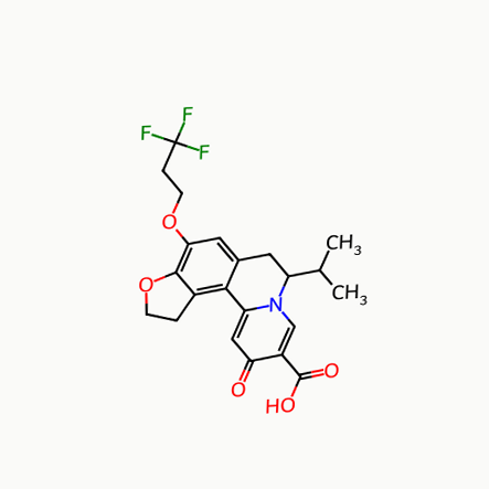 CC(C)C1Cc2cc(OCCC(F)(F)F)c3c(c2-c2cc(=O)c(C(=O)O)cn21)CCO3